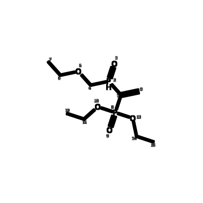 C=C([PH](=O)COCC)P(=O)(OCC)OCC